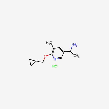 Cc1cc(C(C)N)cnc1OCC1CC1.Cl